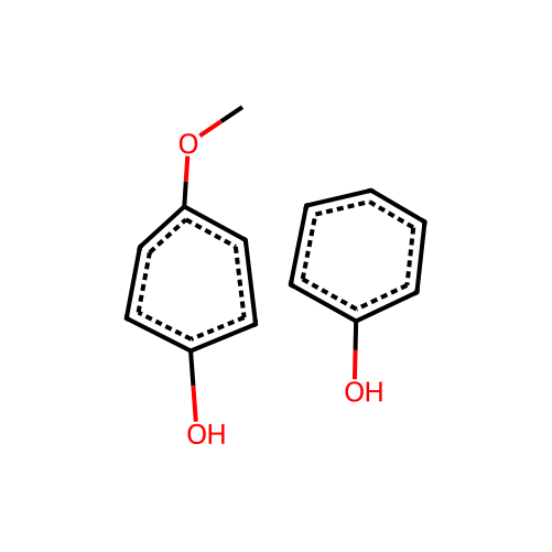 COc1ccc(O)cc1.Oc1ccccc1